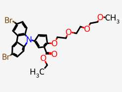 CCOC(=O)c1cc(-n2c3ccc(Br)cc3c3cc(Br)ccc32)ccc1OCCOCCOCCOC